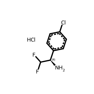 Cl.N[C@H](c1ccc(Cl)cc1)C(F)F